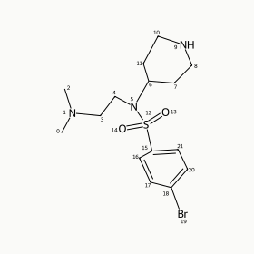 CN(C)CCN(C1CCNCC1)S(=O)(=O)c1ccc(Br)cc1